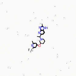 Cc1cc(OC2CCCN(C(C)c3ccc4[nH]c(C)nc4n3)C2)cc(C(F)(F)F)n1